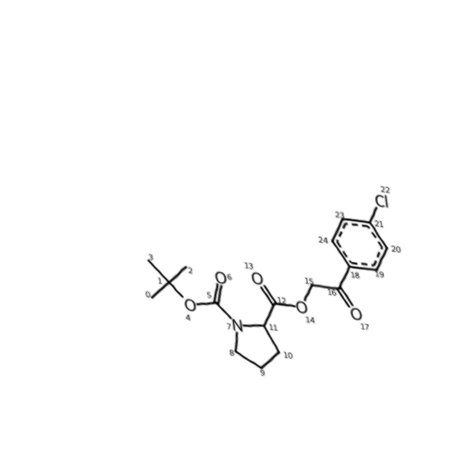 CC(C)(C)OC(=O)N1CCCC1C(=O)OCC(=O)c1ccc(Cl)cc1